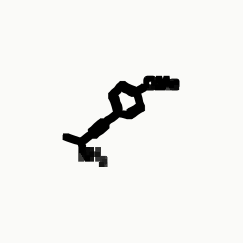 COc1ccc(C#CC(C)N)cc1